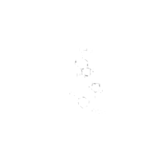 CC(C)COc1ccc(Cl)cc1Cc1nc(-c2nc3cc(C=O)ccc3[nH]2)co1